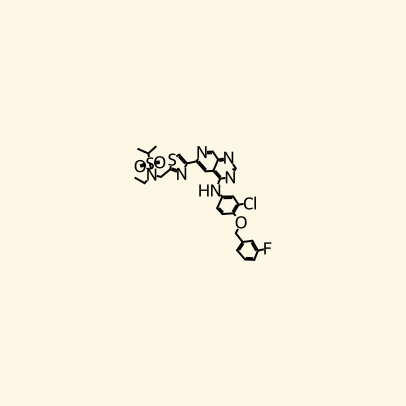 CCN(Cc1nc(-c2cc3c(Nc4ccc(OCc5cccc(F)c5)c(Cl)c4)ncnc3cn2)cs1)S(=O)(=O)C(C)C